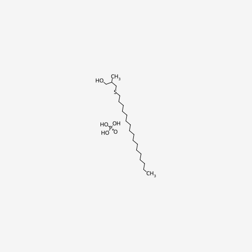 CCCCCCCCCCCCCCCCCSCC(C)CO.O=P(O)(O)O